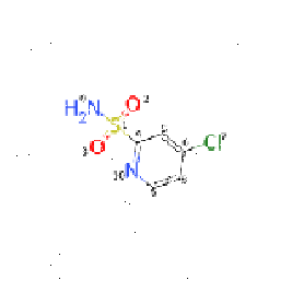 NS(=O)(=O)c1cc(Cl)ccn1